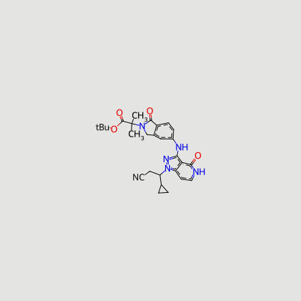 CC(C)(C)OC(=O)C(C)(C)N1Cc2cc(Nc3nn(C(CC#N)C4CC4)c4cc[nH]c(=O)c34)ccc2C1=O